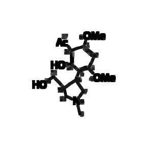 COc1cc(OC)c(C2CN(C)CC2CO)c(O)c1C(C)=O